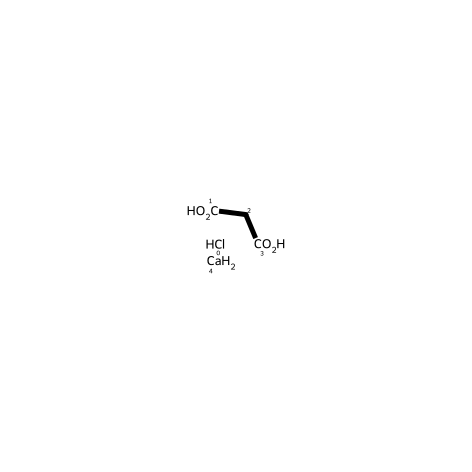 Cl.O=C(O)CC(=O)O.[CaH2]